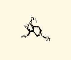 CC(C)c1nn(C)c2c1CN(C(C)C)CC2